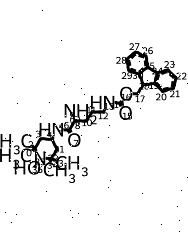 CC1(C)CC(NC(=O)[C@@H](N)CCCNC(=O)OCC2c3ccccc3-c3ccccc32)CC(C)(C)N1O